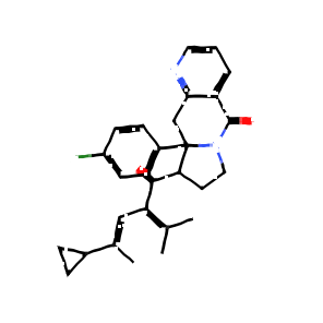 CC(C)=C(/C=C(\C)C1CC1)C(=O)C1CCN2C(=O)c3cccnc3CC12c1ccc(Cl)cc1